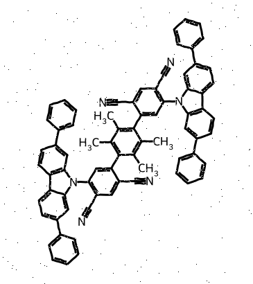 Cc1c(C)c(-c2cc(-n3c4cc(-c5ccccc5)ccc4c4ccc(-c5ccccc5)cc43)c(C#N)cc2C#N)c(C)c(C)c1-c1cc(-n2c3cc(-c4ccccc4)ccc3c3ccc(-c4ccccc4)cc32)c(C#N)cc1C#N